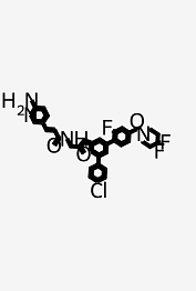 Nc1ccc(/C=C/C(=O)NCc2cc3cc(-c4ccc(C(=O)N5CCC(F)(F)CC5)cc4F)cc(-c4ccc(Cl)cc4)c3o2)cn1